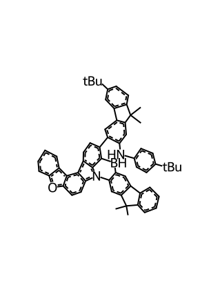 CC(C)(C)c1ccc(Nc2cc3c(cc2-c2ccc4c5c6c(ccc5n5c4c2Bc2cc4c(cc2-5)C(C)(C)c2ccccc2-4)oc2ccccc26)-c2cc(C(C)(C)C)ccc2C3(C)C)cc1